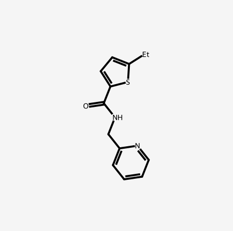 CCc1ccc(C(=O)NCc2ccccn2)s1